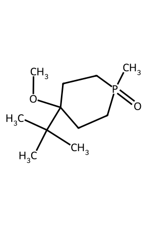 COC1(C(C)(C)C)CCP(C)(=O)CC1